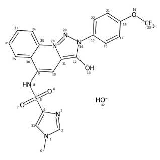 Cn1cnc(S(=O)(=O)Nc2cc3c(O)n(-c4ccc(OC(F)(F)F)cc4)n[n+]3c3ccccc23)c1.[OH-]